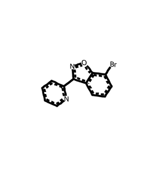 Brc1cccc2c(-c3ccccn3)noc12